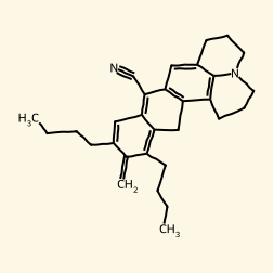 C=c1c(CCCC)cc2c(c1CCCC)Cc1c(cc3c4c1CCCN4CCC3)C=2C#N